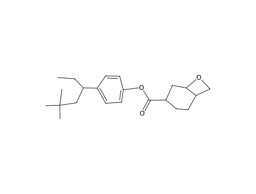 CCC(CC(C)(C)C)c1ccc(OC(=O)C2CCC3COC3C2)cc1